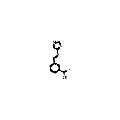 O=C(O)c1cccc(C=Cc2cncs2)c1